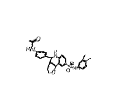 CC(=O)Nc1ccc(C2Nc3ccc(S(=O)(=O)Nc4ccc(C)c(C)c4)cc3C3OCCC23)cc1